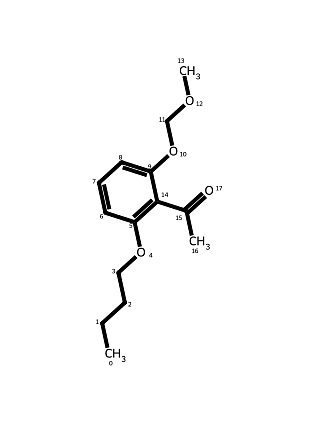 CCCCOc1cccc(OCOC)c1C(C)=O